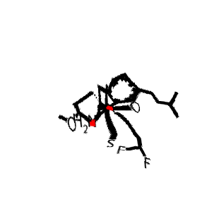 CO[C@H]1CC[C@]2(CC1)Cc1ccc(CCC(C)C)cc1C21C(=O)N(CC(F)F)C(=S)N1N